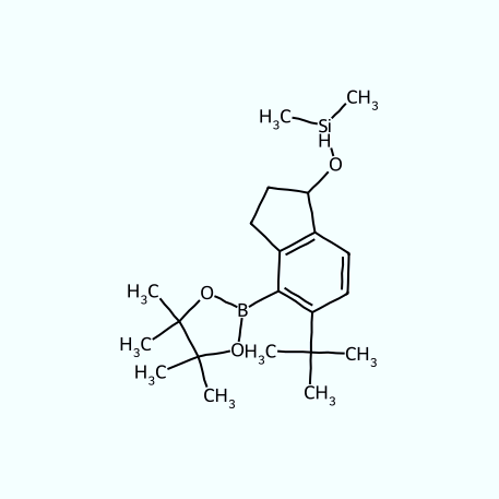 C[SiH](C)OC1CCc2c1ccc(C(C)(C)C)c2B1OC(C)(C)C(C)(C)O1